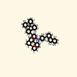 c1ccc(-c2cccc3cccc(-c4ccccc4N(c4ccc(-c5cccc6c5-c5ccccc5C6(c5ccccc5)c5ccccc5)cc4)c4ccc(-c5cccc6c5ccc5ccccc56)cc4)c23)cc1